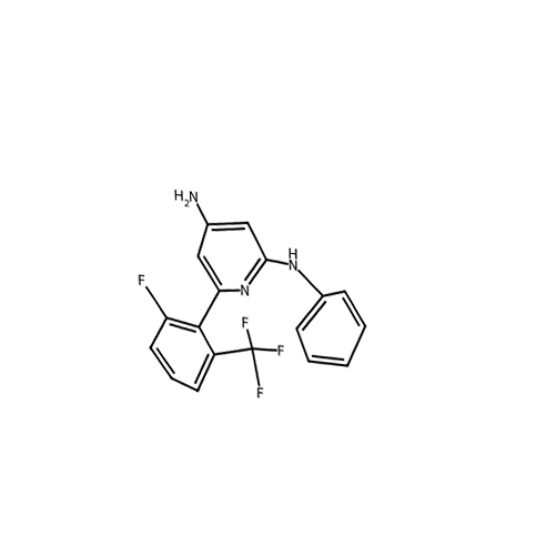 Nc1cc(Nc2ccccc2)nc(-c2c(F)cccc2C(F)(F)F)c1